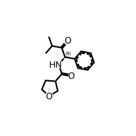 CC(C)C(=O)[C@H](NC(=O)C1CCOC1)c1ccccc1